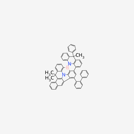 CC1(C)c2cccc3c2-n2c4c1c1ccccc1cc4c1c(-c4ccccc4-c4ccccc4)cc4c(c12)B3N1c2ccccc2C(C)(c2ccccc2)c2cccc-4c21